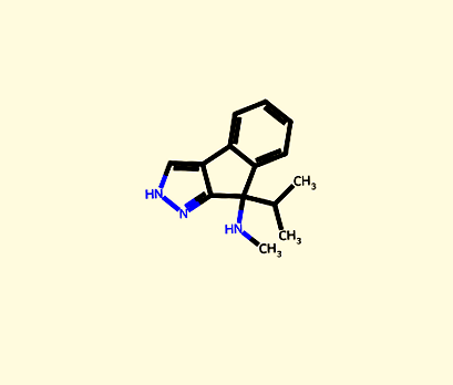 CNC1(C(C)C)c2ccccc2-c2c[nH]nc21